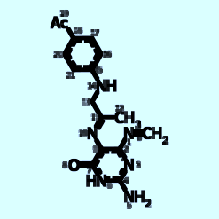 C=Nc1nc(N)[nH]c(=O)c1/N=C(\C)CNc1ccc(C(C)=O)cc1